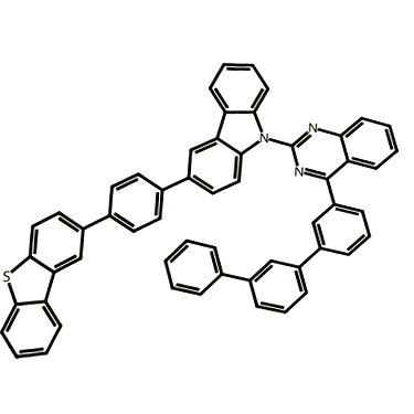 c1ccc(-c2cccc(-c3cccc(-c4nc(-n5c6ccccc6c6cc(-c7ccc(-c8ccc9sc%10ccccc%10c9c8)cc7)ccc65)nc5ccccc45)c3)c2)cc1